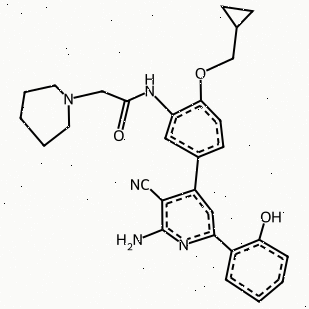 N#Cc1c(-c2ccc(OCC3CC3)c(NC(=O)CN3CCCCC3)c2)cc(-c2ccccc2O)nc1N